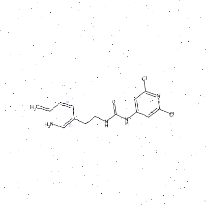 C=C/C=C\C(=C/N)CCNC(=O)Nc1cc(Cl)nc(Cl)c1